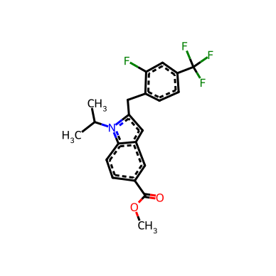 COC(=O)c1ccc2c(c1)cc(Cc1ccc(C(F)(F)F)cc1F)n2C(C)C